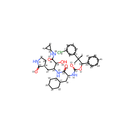 CC(C)(c1cccc(Cl)c1)C(OC(=O)NC(CC1CCCCC1)C(=O)NC(C[C@@H]1CCNC1=O)C(O)C(=O)NC1CC1)c1ccccc1